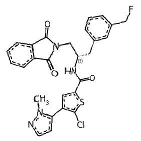 Cn1nccc1-c1cc(C(=O)N[C@@H](Cc2cccc(CF)c2)CN2C(=O)c3ccccc3C2=O)sc1Cl